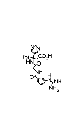 CC(C)(C)C(CC(=O)O)(NC(=O)CNC(=O)c1cccc(NC(=N)N)c1)c1cncnc1